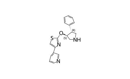 c1ccc([C@@H]2CNC[C@H]2Oc2nc(-c3cccnc3)cs2)cc1